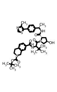 Cc1ncsc1-c1ccc([C@H](C)NC(=O)[C@@H]2C[C@@H](O)CN2C(=O)C(NC(=O)c2ccc3c(c2)CN(C(=O)OC(C)(C)C)CC3)C(C)(C)C)cc1